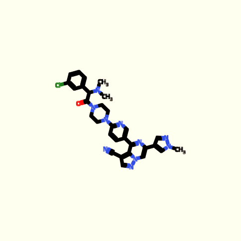 CN(C)C(C(=O)N1CCN(c2ccc(-c3nc(-c4cnn(C)c4)cn4ncc(C#N)c34)cn2)CC1)c1cccc(Cl)c1